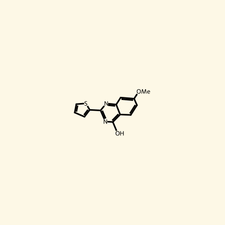 COc1ccc2c(O)nc(-c3cccs3)nc2c1